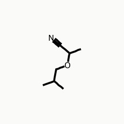 CC(C)COC(C)C#N